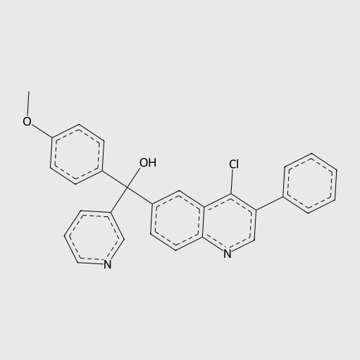 COc1ccc(C(O)(c2cccnc2)c2ccc3ncc(-c4ccccc4)c(Cl)c3c2)cc1